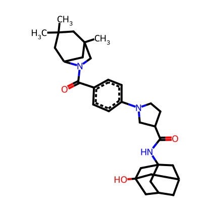 CC1(C)CC2CC(C)(CN2C(=O)c2ccc(N3CCC(C(=O)NC45CC6CC(CC(O)(C6)C4)C5)C3)cc2)C1